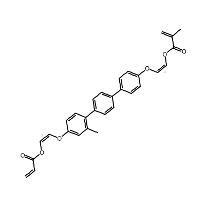 C=CC(=O)O/C=C\Oc1ccc(-c2ccc(-c3ccc(O/C=C\OC(=O)C(=C)C)cc3)cc2)c(C)c1